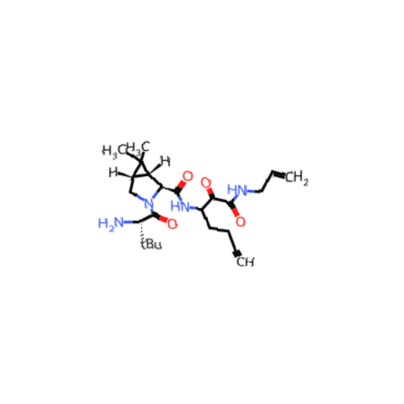 C#CCCC(NC(=O)[C@@H]1[C@@H]2[C@H](CN1C(=O)[C@@H](N)C(C)(C)C)C2(C)C)C(=O)C(=O)NCC=C